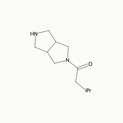 CC(C)CC(=O)N1CC2CNCC2C1